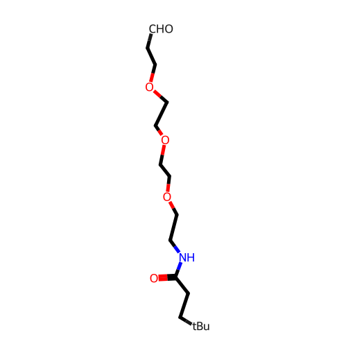 CC(C)(C)CCC(=O)NCCOCCOCCOCCC=O